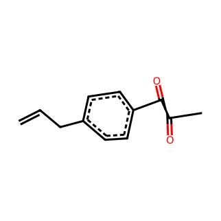 C=CCc1ccc(C(=O)C(C)=O)cc1